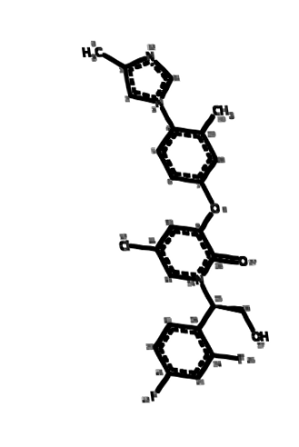 Cc1cn(-c2ccc(Oc3cc(Cl)cn([C@@H](CO)c4ccc(F)cc4F)c3=O)cc2C)cn1